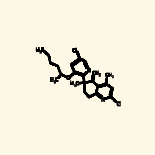 BCCCP(C)Oc1cc(Cl)cnc1C1(C)CCc2nc(Cl)cc(C)c2C1=C